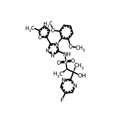 COc1cccc(OC)c1-n1c(NS(=O)(=O)[C@H](C)[C@](C)(O)c2ncc(F)cn2)nnc1-c1ccc(C)o1